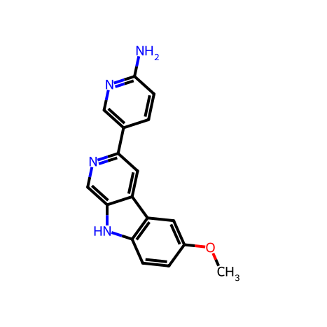 COc1ccc2[nH]c3cnc(-c4ccc(N)nc4)cc3c2c1